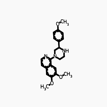 COc1ccc(C2CN(c3nccc4cc(OC)c(OC)cc34)CCN2)cc1